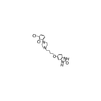 O=c1[nH]c2ccc(OCCCCN3CCN(c4cccc(Cl)c4Cl)CC3)cc2[nH]1